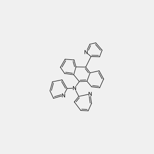 c1ccc(-c2c3ccccc3c(N(c3ccccn3)c3ccccn3)c3ccccc23)nc1